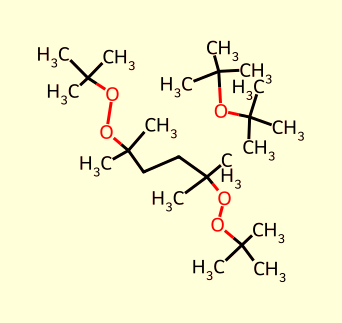 CC(C)(C)OC(C)(C)C.CC(C)(C)OOC(C)(C)CCC(C)(C)OOC(C)(C)C